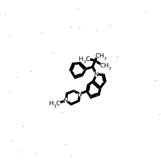 CN1CCN(c2ccc3ccn(C(c4ccccc4)C(C)(C)C)c3c2)CC1